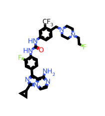 Nc1nccn2c(C3CC3)nc(-c3ccc(NC(=O)Nc4ccc(CN5CCN(CCF)CC5)c(C(F)(F)F)c4)c(F)c3)c12